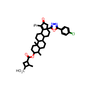 CC(C)C1=C2C3CCC4C(CCC5C(C)C(OC(=O)C6CC(C(=O)O)C6C)CCC54C)C3CCC2(c2nnc(-c3ccc(Cl)cc3)o2)CC1=O